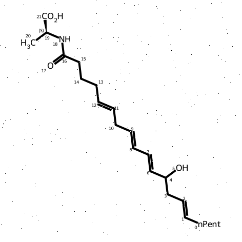 CCCCCC=CCC(O)C=CC=CCC=CCCCC(=O)N[C@@H](C)C(=O)O